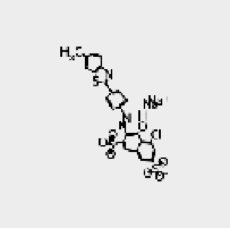 Cc1ccc2nc(-c3ccc(N=Nc4c(S(=O)(=O)[O-])cc5cc(S(=O)(=O)[O-])cc(Cl)c5c4O)cc3)sc2c1.[Na+].[Na+]